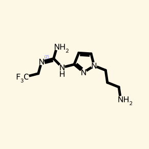 NCCCn1ccc(N/C(N)=N\CC(F)(F)F)n1